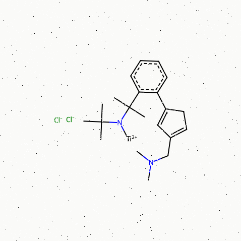 CN(C)CC1=CCC(c2ccccc2C(C)(C)[N]([Ti+2])C(C)(C)C)=C1.[Cl-].[Cl-]